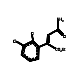 CCOC(=O)/C(=C\C(N)=O)c1cccc(Cl)c1Cl